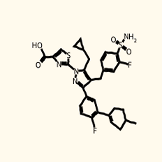 CC1CC=C(c2cc(-c3nn(-c4nc(C(=O)O)cs4)c(CC4CC4)c3Cc3ccc(S(N)(=O)=O)c(F)c3)ccc2F)CC1